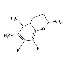 CC1=C(F)C(F)=C2OC(C)CCC2C1C